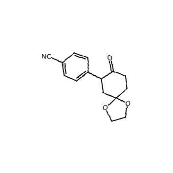 N#Cc1ccc(C2CC3(CCC2=O)OCCO3)cc1